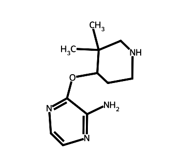 CC1(C)CNCCC1Oc1nccnc1N